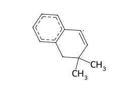 CC1(C)C=[C]c2ccccc2C1